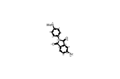 CNc1ccc(N2C(=O)c3ccc(C(C)=O)cc3C2=O)cc1